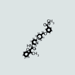 COC(=O)c1cccc(OCC2CCN(c3ccc(NC(=O)c4oc5ccccc5c4C)cn3)CC2)c1